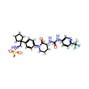 CS(=O)(=O)NCC1(c2ccc(N3CCC[C@@H](NC(=O)Nc4ccc(C(F)(F)F)nc4)C3=O)cc2)CCCC1